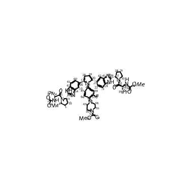 COC(=O)N[C@H](C(=O)N1CCC[C@H]1c1nc2cc([C@H]3CC[C@H](c4ccc5[nH]c([C@@H]6CCCN6C(=O)[C@@H](NC(=O)OC)C(C)C)nc5c4)N3c3ccc(N4CCN(C(=O)OC)CC4)c(F)c3)ccc2[nH]1)C(C)C